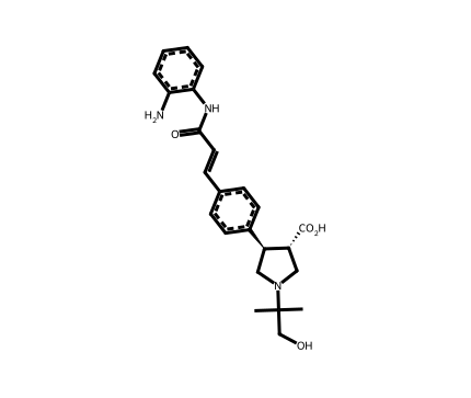 CC(C)(CO)N1C[C@@H](C(=O)O)[C@H](c2ccc(/C=C/C(=O)Nc3ccccc3N)cc2)C1